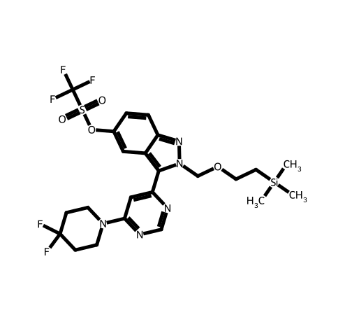 C[Si](C)(C)CCOCn1nc2ccc(OS(=O)(=O)C(F)(F)F)cc2c1-c1cc(N2CCC(F)(F)CC2)ncn1